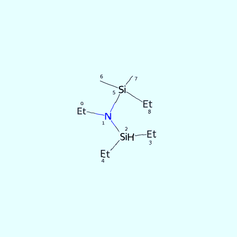 CCN([SiH](CC)CC)[Si](C)(C)CC